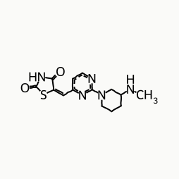 CNC1CCCN(c2nccc(C=C3SC(=O)NC3=O)n2)C1